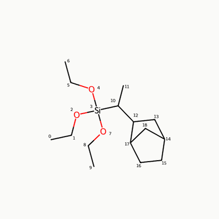 CCO[Si](OCC)(OCC)C(C)C1CC2CCC1C2